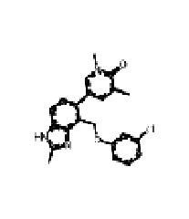 Cc1nc2c(COc3cccc(Cl)c3)c(-c3cc(C)c(=O)n(C)c3)ccc2[nH]1